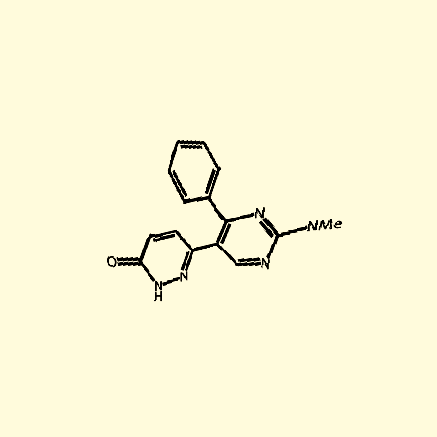 CNc1ncc(-c2ccc(=O)[nH]n2)c(-c2ccccc2)n1